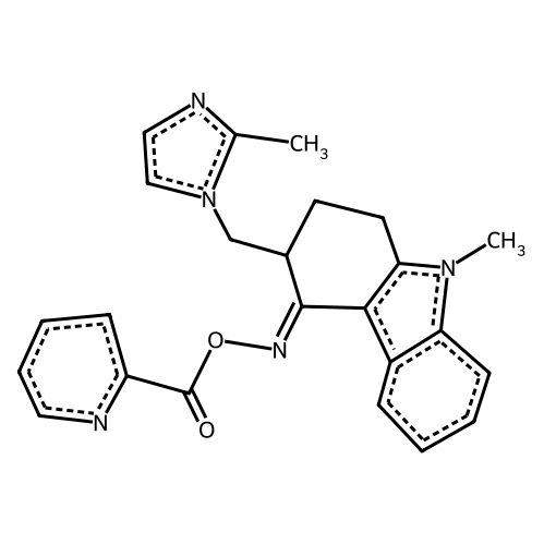 Cc1nccn1CC1CCc2c(c3ccccc3n2C)C1=NOC(=O)c1ccccn1